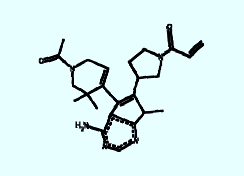 C=CC(=O)N1CCC(C2=C(C3=CCN(C(C)=O)CC3(C)C)c3c(N)ncnc3C2C)C1